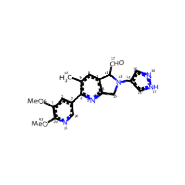 COc1cc(-c2nc3c(cc2C)C(C=O)N(c2cn[nH]c2)C3)cnc1OC